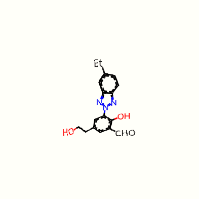 CCc1ccc2nn(-c3cc(CCO)cc(C=O)c3O)nc2c1